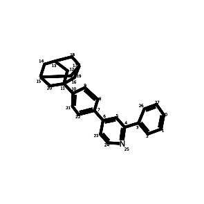 c1ccc(-c2cc(-c3ccc(C45CC6CC(CC(C6)C4)C5)cc3)ccn2)cc1